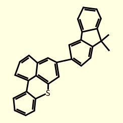 CC1(C)c2ccccc2-c2cc(-c3cc4c5c(cccc5c3)-c3ccccc3S4)ccc21